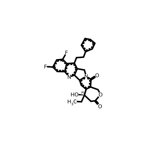 CC[C@@]1(O)CC(=O)OCc2c1cc1n(c2=O)Cc2c-1nc1cc(F)cc(F)c1c2CCc1ccccc1